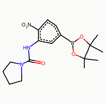 CC1(C)OB(c2ccc([N+](=O)[O-])c(NC(=O)N3CCCC3)c2)OC1(C)C